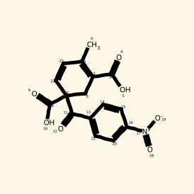 CC1=C(C(=O)O)CC(C(=O)O)(C(=O)c2ccc([N+](=O)[O-])cc2)C=C1